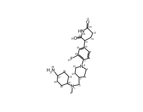 CN(CC1CCN(c2ccc(C3CCC(=O)NC3=O)cc2F)CC1)C1CCC(N)CC1